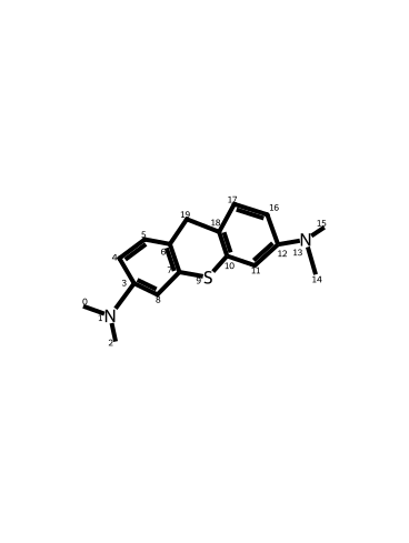 CN(C)c1ccc2c(c1)Sc1cc(N(C)C)ccc1C2